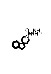 NNC(=O)N1CCC2(CCc3ccccc32)CC1